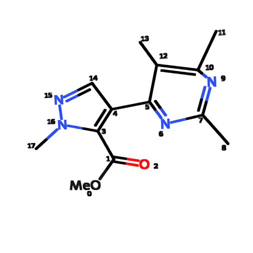 COC(=O)c1c(-c2nc(C)nc(C)c2C)cnn1C